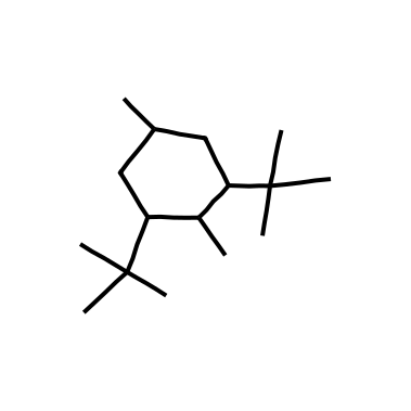 CC1CC(C(C)(C)C)C(C)C(C(C)(C)C)C1